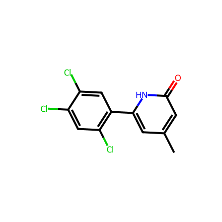 Cc1cc(-c2cc(Cl)c(Cl)cc2Cl)[nH]c(=O)c1